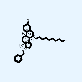 C[C@]12CC[C@H]3[C@@H]([C@H](CCCCCCCCCCl)CC4=CC(=O)CC[C@@H]43)[C@@H]1CC[C@@H]2OCc1ccccc1